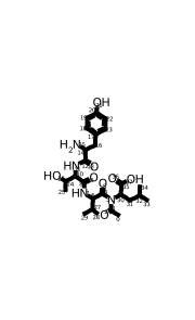 CC(=O)N(C(=O)C(NC(=O)C(NC(=O)C(N)Cc1ccc(O)cc1)C(C)O)C(C)C)C(CC(C)C)C(=O)O